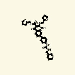 CCn1c(NCC2CCCO2)c(C(=O)NCC2CCCO2)c(=O)c2ccc(-c3ccc(NC(=O)NCc4cccnc4)cc3)cc21